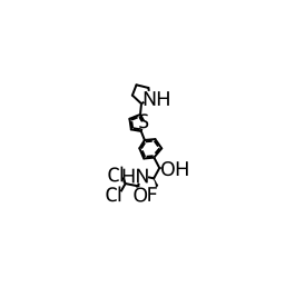 O=C(N[C@H](CF)[C@H](O)c1ccc(-c2ccc(C3CCCN3)s2)cc1)C(Cl)Cl